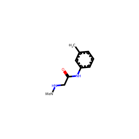 [CH2]c1cccc(NC(=O)CNNC)c1